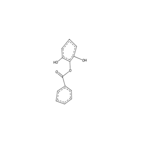 O=C(Oc1c(O)cccc1O)c1ccccc1